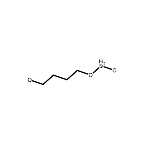 [O]CCCCO[SiH2][O]